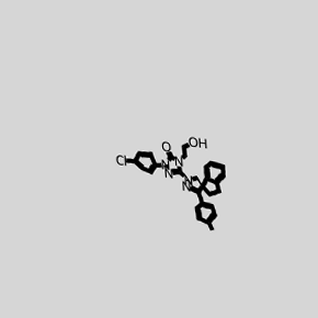 Cc1ccc(C2=NN(c3nn(-c4ccc(Cl)cc4)c(=O)n3CCO)C[C@@]23CCc2ccccc23)cc1